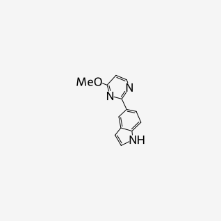 COc1ccnc(-c2ccc3[nH]ccc3c2)n1